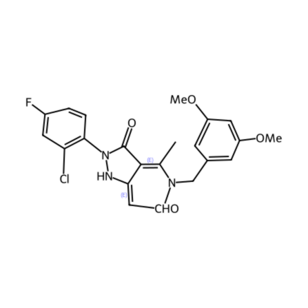 COc1cc(CN(C)/C(C)=c2/c(=O)n(-c3ccc(F)cc3Cl)[nH]/c2=C/C=O)cc(OC)c1